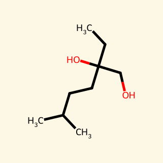 CCC(O)(CO)CCC(C)C